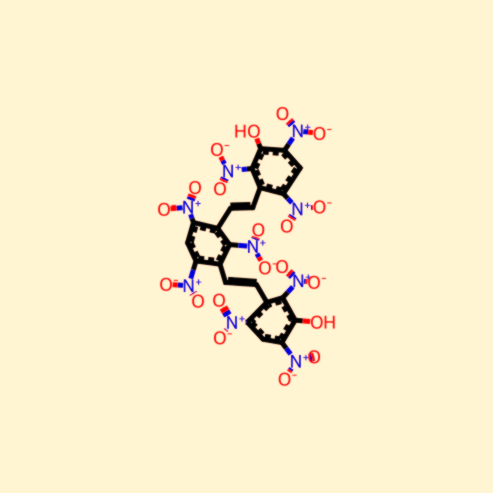 O=[N+]([O-])c1cc([N+](=O)[O-])c(C=Cc2c([N+](=O)[O-])cc([N+](=O)[O-])c(C=Cc3c([N+](=O)[O-])cc([N+](=O)[O-])c(O)c3[N+](=O)[O-])c2[N+](=O)[O-])c([N+](=O)[O-])c1O